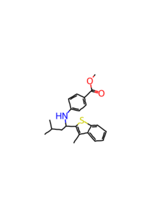 COC(=O)c1ccc(NC(CC(C)C)c2sc3ccccc3c2C)cc1